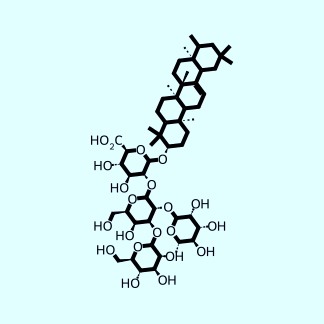 CC1CC(C)(C)CC2C3=CCC4[C@@]5(C)CC[C@H](OC6O[C@H](C(=O)O)[C@@H](O)[C@H](O)[C@H]6OC6O[C@H](CO)[C@H](O)[C@H](OC7O[C@H](CO)[C@@H](O)[C@H](O)[C@H]7O)[C@H]6OC6O[C@@H](C)[C@H](O)[C@@H](O)[C@H]6O)C(C)(C)C5CC[C@@]4(C)[C@]3(C)CC[C@@]12C